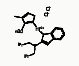 CCCCC1=[C]([Hf+2][CH]2C(P(CC(C)C)CC(C)C)=Cc3ccccc32)CC=C1C.[Cl-].[Cl-]